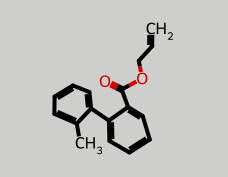 C=CCOC(=O)c1ccccc1-c1ccccc1C